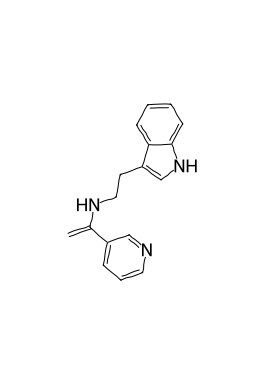 C=C(NCCc1c[nH]c2ccccc12)c1cccnc1